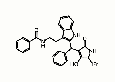 CC(C)C1NC(=O)C(C(c2ccccc2)c2[nH]c3ccccc3c2CCNC(=O)c2ccccc2)=C1O